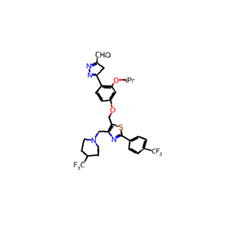 CC(C)Oc1cc(OCc2sc(-c3ccc(C(F)(F)F)cc3)nc2CN2CCC(C(F)(F)F)CC2)ccc1C1=NN=C(C=O)C1